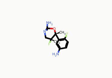 C[C@@]1(F)CN=C(N)O[C@]1(C)c1cc(N)ccc1F